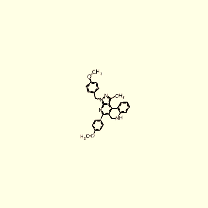 COc1ccc(Cn2nc(C)c3c4c(c(-c5ccc(OC)cc5)nc32)CNc2ccccc2-4)cc1